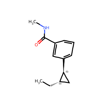 CC[C@H]1C[C@@H]1c1cccc(C(=O)NC)c1